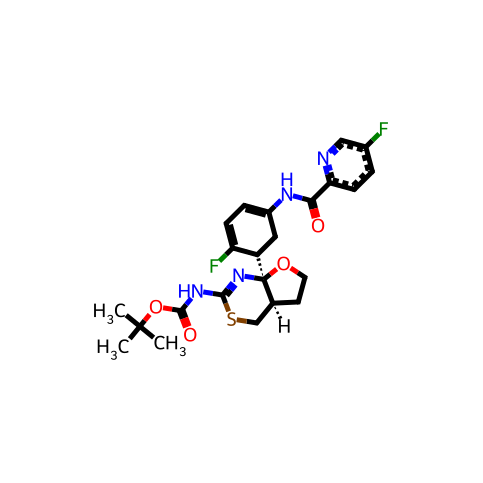 CC(C)(C)OC(=O)NC1=N[C@@]2(C3CC(NC(=O)c4ccc(F)cn4)=CC=C3F)OCC[C@H]2CS1